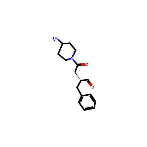 NC1CCN(C(=O)C[C@H]([C]=O)Cc2ccccc2)CC1